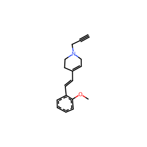 C#CCN1CC=C(C=Cc2ccccc2OC)CC1